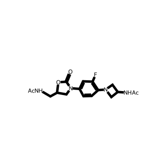 CC(=O)NCC1CN(c2ccc(N3CC(NC(C)=O)C3)c(F)c2)C(=O)O1